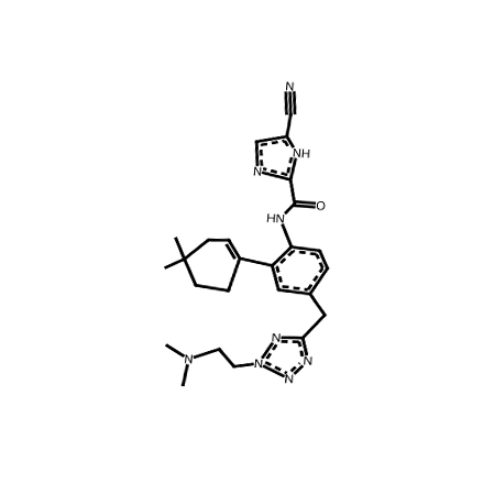 CN(C)CCn1nnc(Cc2ccc(NC(=O)c3ncc(C#N)[nH]3)c(C3=CCC(C)(C)CC3)c2)n1